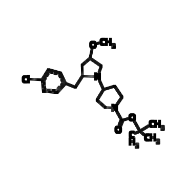 COC1CC(Cc2ccc(Cl)cc2)N(C2CCN(C(=O)OC(C)(C)C)CC2)C1